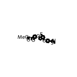 COC(=O)C[C@@H]1COc2cc(O[C@@H]3CCc4c(Oc5ccc(-c6cnc(C)s6)cc5)ccc(F)c43)ccc21